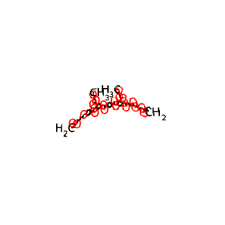 C=CC(=O)OCCCCOc1ccc(C(=O)Oc2ccc(OC(=O)C3CCC(C(=O)Oc4ccc(OC(=O)CCC(=O)OCCOC(=O)C=C)c(C(=O)OCCOC)c4)CC3)cc2C(=O)OCCOC)cc1